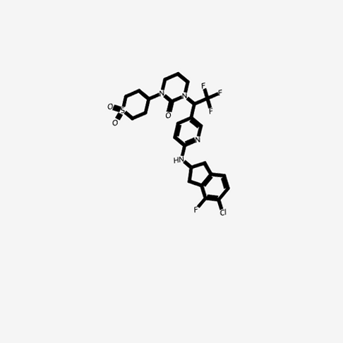 O=C1N(C2CCS(=O)(=O)CC2)CCCN1C(c1ccc(NC2Cc3ccc(Cl)c(F)c3C2)nc1)C(F)(F)F